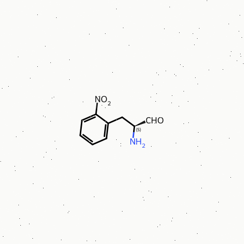 N[C@H](C=O)Cc1ccccc1[N+](=O)[O-]